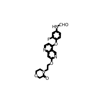 O=CNc1ccc(Oc2ccnc3cc(OCCN4CCOCC4=O)ncc23)c(F)c1